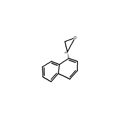 c1ccc2c([C@@H]3CO3)cccc2c1